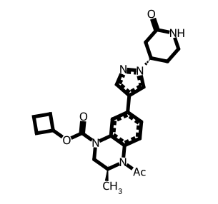 CC(=O)N1c2ccc(-c3cnn([C@H]4CCNC(=O)C4)c3)cc2N(C(=O)OC2CCC2)C[C@@H]1C